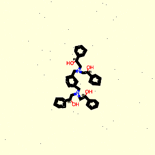 O[C@@H](CN(Cc1cccc(CN(C[C@H](O)c2ccccc2)C[C@H](O)c2ccccc2)c1)C[C@H](O)c1ccccc1)c1ccccc1